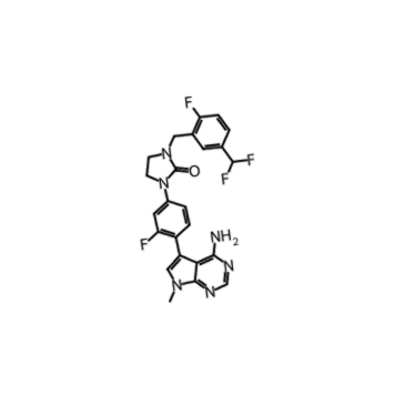 Cn1cc(-c2ccc(N3CCN(Cc4cc(C(F)F)ccc4F)C3=O)cc2F)c2c(N)ncnc21